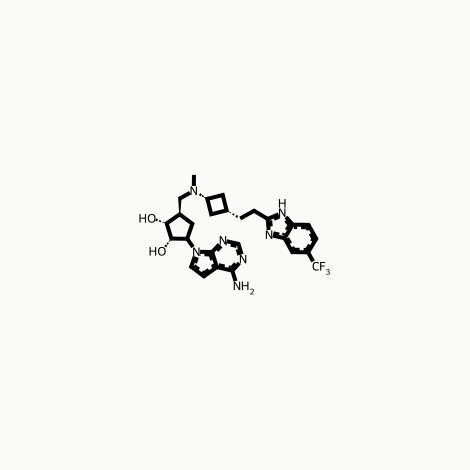 CN(C[C@H]1CC(n2ccc3c(N)ncnc32)[C@H](O)[C@@H]1O)[C@H]1C[C@@H](CCc2nc3cc(C(F)(F)F)ccc3[nH]2)C1